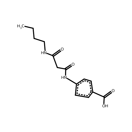 CCCCNC(=O)CC(=O)Nc1ccc(C(=O)O)cc1